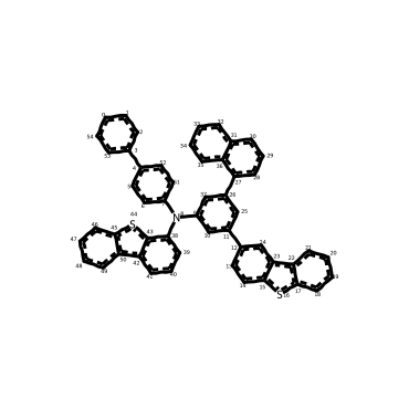 c1ccc(-c2ccc(N(c3cc(-c4ccc5sc6ccccc6c5c4)cc(-c4cccc5ccccc45)c3)c3cccc4c3sc3ccccc34)cc2)cc1